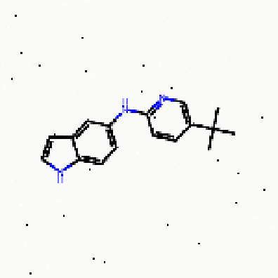 CC(C)(C)c1ccc(Nc2ccc3[nH]ccc3c2)nc1